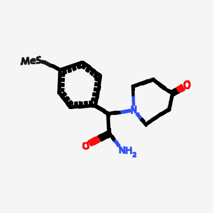 CSc1ccc(C(C(N)=O)N2CCC(=O)CC2)cc1